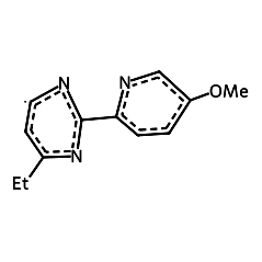 CCc1c[c]nc(-c2ccc(OC)cn2)n1